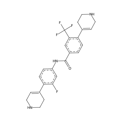 O=C(Nc1ccc(C2=CCNCC2)c(F)c1)c1ccc(C2=CCNCC2)c(C(F)(F)F)c1